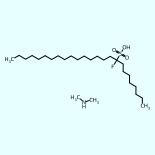 CCCCCCCCCCCCCCCCC(F)(CCCCCCCC)S(=O)(=O)O.CNC